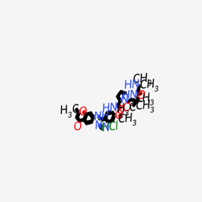 CNC(C)C(=O)NC(C(=O)N1CCCC1C(=O)Nc1cc2c(Nc3ccc4c(=O)cc(C)oc4c3)ncnc2cc1OC)C(C)(C)C.Cl